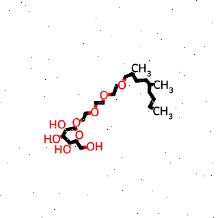 CCCCC(C)CCC(C)COCCOCCOCCOC1OC(CO)C(O)C(O)C1O